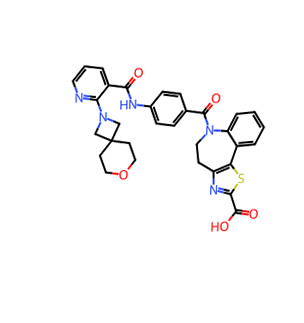 O=C(O)c1nc2c(s1)-c1ccccc1N(C(=O)c1ccc(NC(=O)c3cccnc3N3CC4(CCOCC4)C3)cc1)CC2